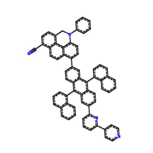 N#Cc1ccc2c3c1ccc1c(-c4ccc5c(-c6cccc7ccccc67)c6cc(-c7cccc(-c8ccncc8)n7)ccc6c(-c6cccc7ccccc67)c5c4)ccc(c13)N(c1ccccc1)C2